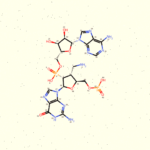 NC[C@H]1[C@@H](P(=O)(O)OC[C@H]2O[C@@H](n3cnc4c(N)ncnc43)[C@H](O)[C@@H]2O)[C@H](n2cnc3c(=O)[nH]c(N)nc32)O[C@@H]1CO[PH](=O)O